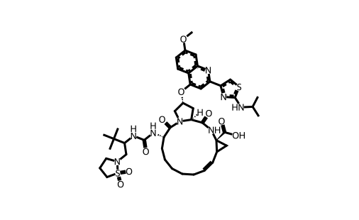 COc1ccc2c(O[C@@H]3C[C@H]4C(=O)N[C@]5(C(=O)O)CC5/C=C\CCCCC[C@H](NC(=O)NC(CN5CCCS5(=O)=O)C(C)(C)C)C(=O)N4C3)cc(-c3csc(NC(C)C)n3)nc2c1